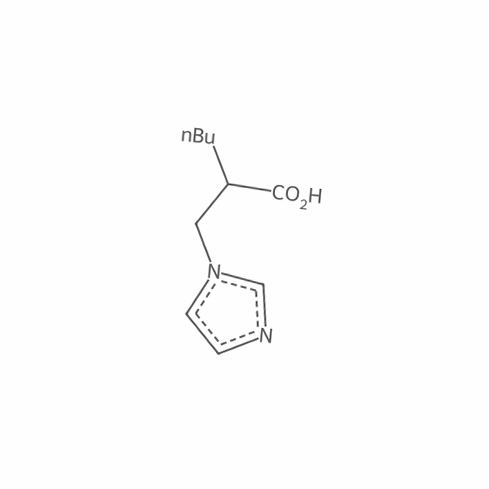 CCCCC(Cn1ccnc1)C(=O)O